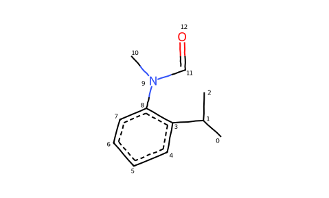 CC(C)c1ccccc1N(C)C=O